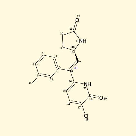 Cc1cccc(/C(=C\[C@H]2CCC(=O)N2)c2ccc(Cl)c(=O)[nH]2)c1